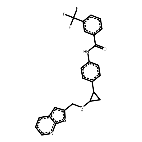 O=C(Nc1ccc(C2CC2NCc2cc3cccnc3s2)cc1)c1cccc(C(F)(F)F)c1